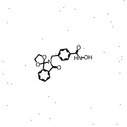 O=C(NO)c1ccc(CN2C(=O)c3ccccc3C23OCCO3)cc1